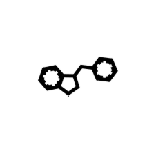 [CH]1CC(Cc2ccccc2)c2ccccc21